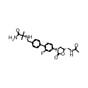 CC(=O)NC[C@H]1CN(c2ccc(-c3ccc(CNC(C)(C)C(N)=O)cc3)c(F)c2)C(=O)O1